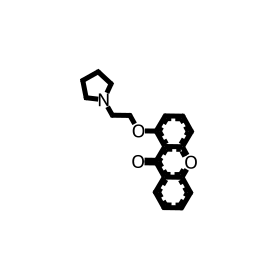 O=c1c2ccccc2oc2cccc(OCCN3CCCC3)c12